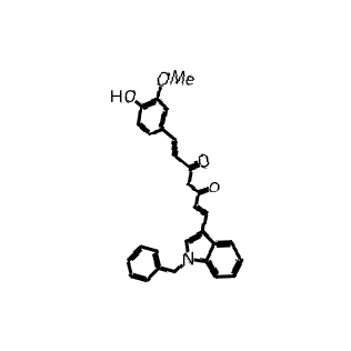 COc1cc(/C=C/C(=O)CC(=O)/C=C/c2cn(Cc3ccccc3)c3ccccc23)ccc1O